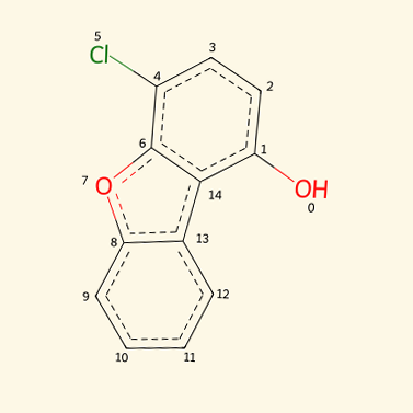 Oc1ccc(Cl)c2oc3ccccc3c12